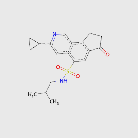 CC(C)CNS(=O)(=O)c1cc2c(c3cnc(C4CC4)cc13)CCC2=O